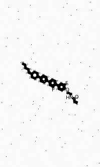 C=CC(=O)NCCOc1ccc(-c2ccc(-c3ccc(C4CCC(CCCCC)CC4)cc3)cc2F)cc1F